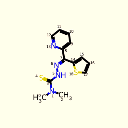 CN(C)C(=S)N/N=C(/c1ccccn1)c1cccs1